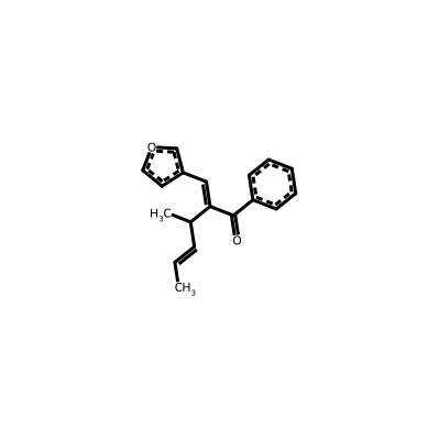 CC=CC(C)C(=Cc1ccoc1)C(=O)c1ccccc1